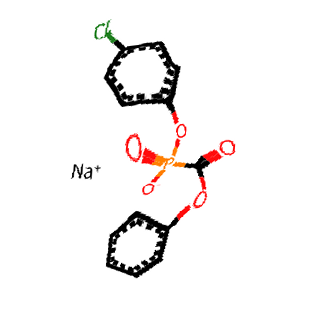 O=C(Oc1ccccc1)P(=O)([O-])Oc1ccc(Cl)cc1.[Na+]